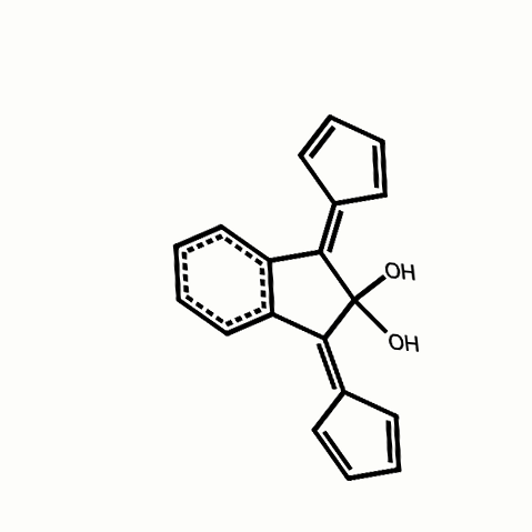 OC1(O)C(=C2C=CC=C2)c2ccccc2C1=C1C=CC=C1